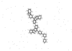 c1ccc(-c2cccc(-c3ccc(-n4c5ccc(-c6ccc7c(c6)n6c8ccccc8nc6n7-c6ccc7oc8ccccc8c7c6)cc5n5c6ccccc6nc45)cc3)c2)cc1